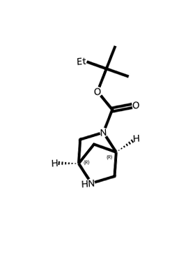 CCC(C)(C)OC(=O)N1C[C@H]2C[C@@H]1CN2